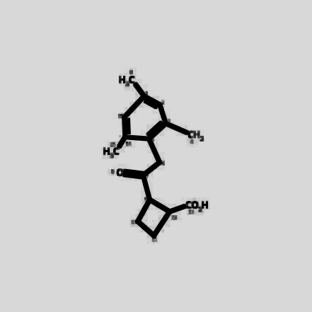 Cc1cc(C)c(CC(=O)C2CCC2C(=O)O)c(C)c1